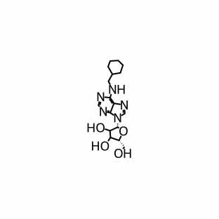 OC[C@H]1O[C@@H](n2cnc3c(NCC4CCCCC4)ncnc32)C(O)C1O